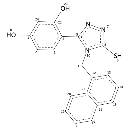 Oc1ccc(-c2nnc(S)n2Cc2cccc3ccccc23)c(O)c1